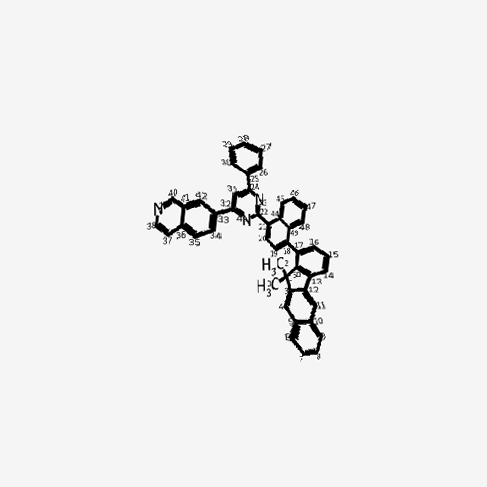 CC1(C)c2cc3ccccc3cc2-c2cccc(-c3ccc(-c4nc(-c5ccccc5)cc(-c5ccc6ccncc6c5)n4)c4ccccc34)c21